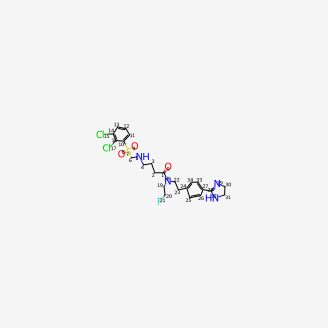 O=C(CCCNCS(=O)(=O)c1cccc(Cl)c1Cl)N(CCF)CCc1ccc(C2=NCCN2)cc1